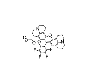 O=C(OCC1CO1)c1c(F)c(F)c(F)c(F)c1C1=c2cc3c4c(c2Oc2c1cc1c5c2CCCN5CCC1)CCC[N+]=4CCC3